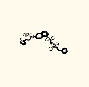 CCCN(CCc1cccs1)C1CCc2c(cccc2OC(=O)CNC(=O)CCc2ccccc2)C1